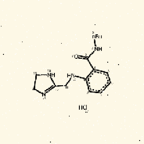 CCCCNC(=O)c1ccccc1NCC1=NCCN1.Cl